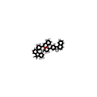 CC1(C)c2ccccc2-c2c(N(c3ccc(-c4ccc5c(c4)oc4ccc6ccccc6c45)cc3)c3ccccc3-c3ccc4ccccc4c3)cccc21